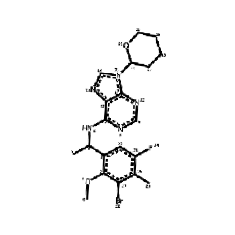 COc1c(C(C)Nc2ncnc3c2ncn3C2CCCCO2)cc(F)c(C)c1Br